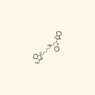 O=C(O)c1ccccc1S(=O)(=O)CCCCCNCCC(Oc1ccccc1)c1nc2ccccc2o1